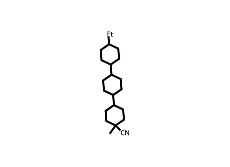 CCC1CCC(C2CCC(C3CCC(C)(C#N)CC3)CC2)CC1